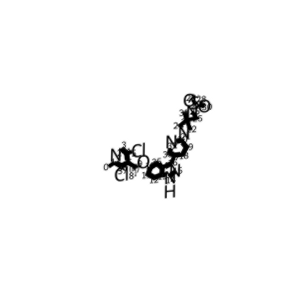 Cc1ncc(Cl)c([C@@H](C)Oc2ccc3[nH]nc(-c4ccc(N5CC6(C5)CN(S(C)(=O)=O)C6)nc4)c3c2)c1Cl